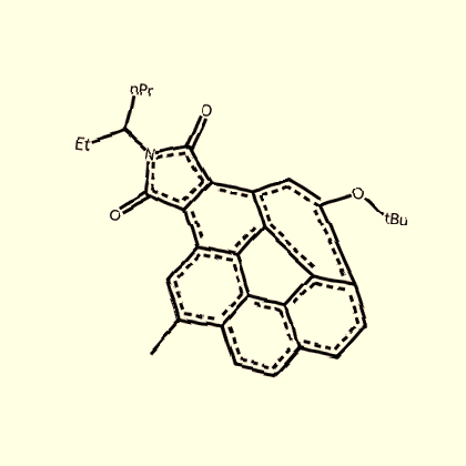 CCCC(CC)n1c(=O)c2c3cc(C)c4ccc5ccc6c(OC(C)(C)C)cc(c2c1=O)c1c6c5c4c31